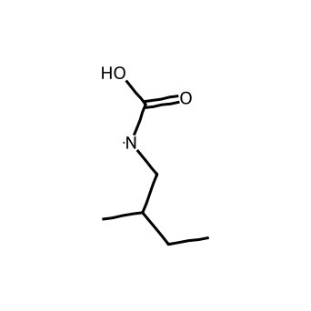 CCC(C)C[N]C(=O)O